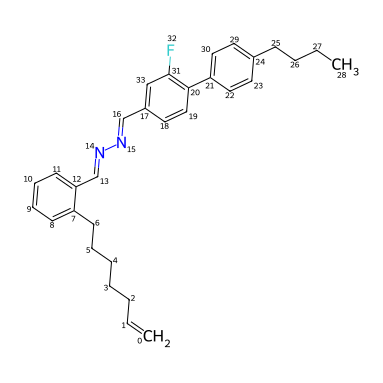 C=CCCCCCc1ccccc1C=NN=Cc1ccc(-c2ccc(CCCC)cc2)c(F)c1